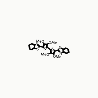 COc1c(-c2nc3ccccc3s2)sc(-c2sc(-c3nc4ccccc4s3)c(OC)c2OC)c1OC